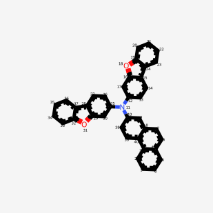 c1ccc2c(c1)ccc1cc(N(c3ccc4c(c3)oc3ccccc34)c3ccc4c(c3)oc3ccccc34)ccc12